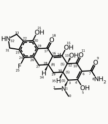 CN(C)[C@@H]1C(O)=C(C(N)=O)C(=O)[C@@]2(O)C(O)=C3C(=O)c4c(O)c5c(c(F)c4C[C@H]3C[C@@H]12)CNC5